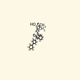 CC(C)(CN1CC(n2c(=O)n(-c3ccc(-c4ccccc4)cc3)c3cccnc32)C1)C(=O)O